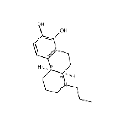 CCCN1CCC[C@H]2c3ccc(O)c(O)c3CC[C@H]21